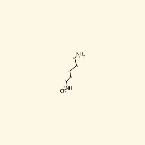 NCCCCCNCl